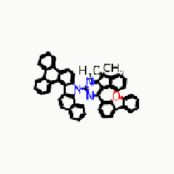 CC1(C)c2ccccc2-c2c(-c3cccc4c3oc3ccccc34)nc(-n3c4ccc5c6ccccc6c6ccccc6c5c4c4ccc5ccccc5c43)nc21